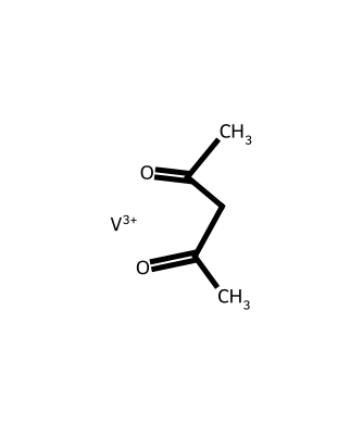 CC(=O)CC(C)=O.[V+3]